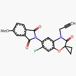 C#CCN1C(=O)C2(CC2)Oc2cc(F)c(N3C(=O)c4ccc(OC)cc4C3=O)cc21